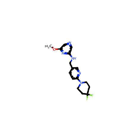 COc1cncc(NCc2ccc(N3CCC(F)(F)CC3)nc2)n1